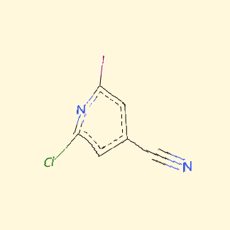 N#Cc1cc(Cl)nc(I)c1